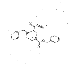 COC(=O)C1CN(C(=O)OCc2ccccc2)CCN1Cc1ccccc1